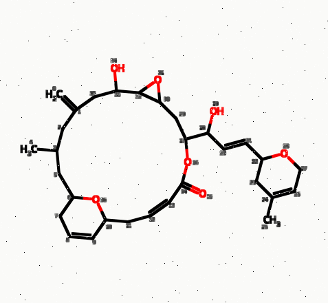 C=C1CC(C)CC2CC=CC(C/C=C\C(=O)OC(C(O)C=CC3CC(C)=CCO3)CC3OC3C(O)C1)O2